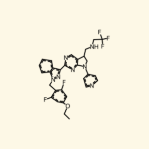 CCOc1cc(F)c(Cn2nc(-c3ncc4c(n3)N(c3ccncc3)CC4CNCC(F)(F)F)c3ccccc32)c(F)c1